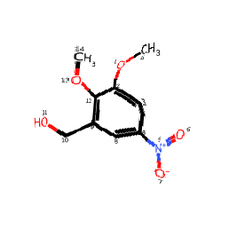 COc1cc([N+](=O)[O-])cc(CO)c1OC